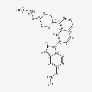 CCNCc1ccn2c(-c3ccc4cccc(N5CCC(CNC(=O)O)CC5)c4n3)nnc2c1